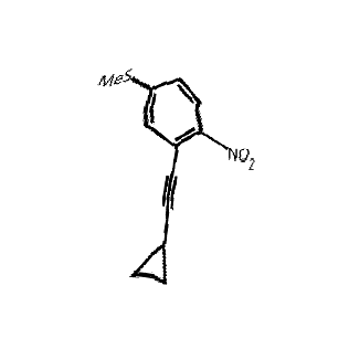 CSc1ccc([N+](=O)[O-])c(C#CC2CC2)c1